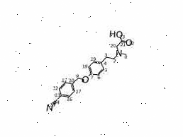 CN(CCc1ccc(OCc2ccc(C#N)cc2)cc1)CC(=O)O